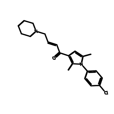 Cc1cc(C(=O)/C=C/CN2CCCCC2)c(C)n1-c1ccc(Cl)cc1